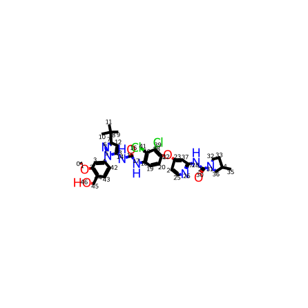 COc1cc(-n2nc(C(C)(C)C)cc2NC(=O)Nc2ccc(Oc3ccnc(NC(=O)N4CCC(C)C4)c3)c(Cl)c2Cl)ccc1CO